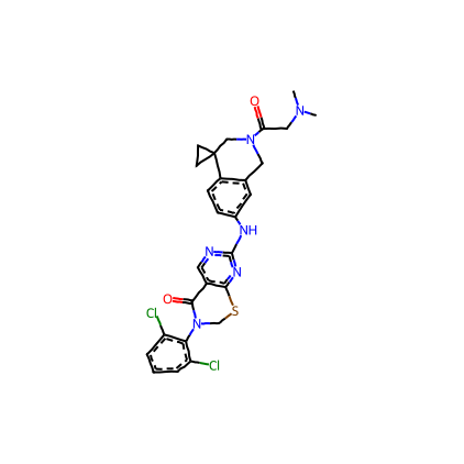 CN(C)CC(=O)N1Cc2cc(Nc3ncc4c(n3)SCN(c3c(Cl)cccc3Cl)C4=O)ccc2C2(CC2)C1